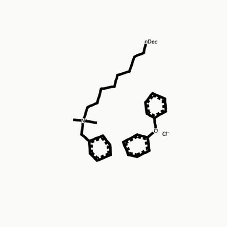 CCCCCCCCCCCCCCCCCC[N+](C)(C)Cc1ccccc1.[Cl-].c1ccc(Oc2ccccc2)cc1